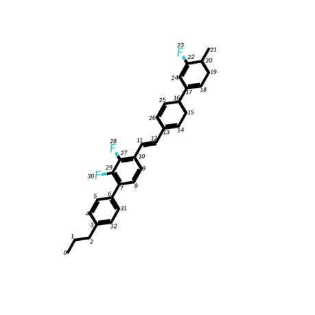 CCCc1ccc(-c2ccc(/C=C/C3=CCC(C4=CCC(C)C(F)=C4)C=C3)c(F)c2F)cc1